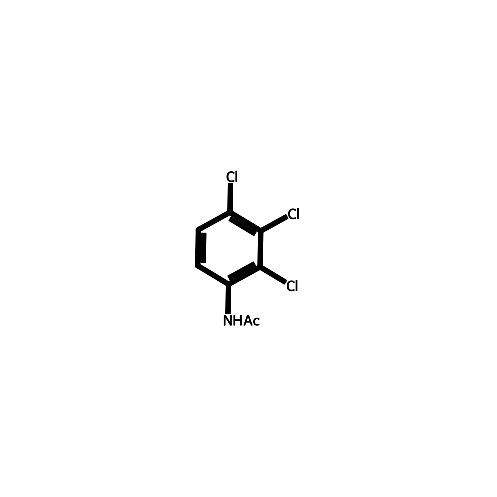 [CH2]C(=O)Nc1ccc(Cl)c(Cl)c1Cl